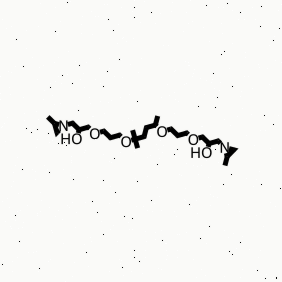 CC(CCC(C)(C)OCCCOCC(O)CN1CC1C)OCCCOCC(O)CN1CC1C